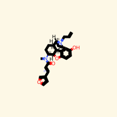 C=CCN1CC[C@@]23c4c5ccc(O)c4C[C@@H]1[C@@H]2CC[C@H](N(C)C(=O)/C=C/c1ccoc1)[C@@H]3O5